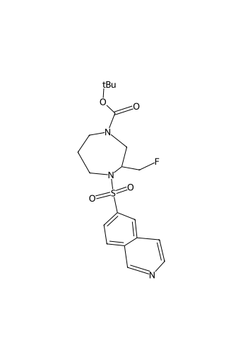 CC(C)(C)OC(=O)N1CCCN(S(=O)(=O)c2ccc3cnccc3c2)C(CF)C1